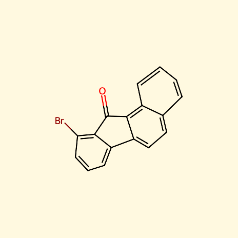 O=C1c2c(Br)cccc2-c2ccc3ccccc3c21